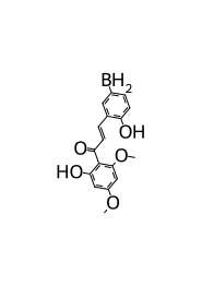 Bc1ccc(O)c(/C=C/C(=O)c2c(O)cc(OC)cc2OC)c1